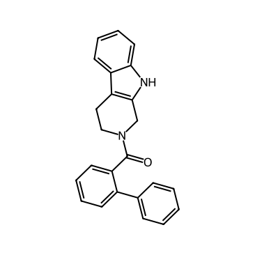 O=C(c1ccccc1-c1ccccc1)N1CCc2c([nH]c3ccccc23)C1